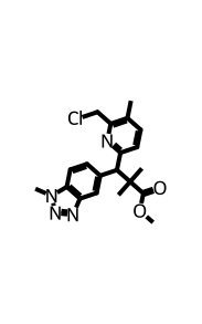 COC(=O)C(C)(C)C(c1ccc2c(c1)nnn2C)c1ccc(C)c(CCl)n1